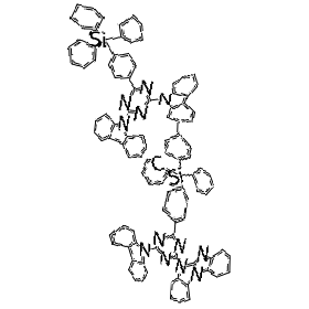 c1ccc([Si](c2ccccc2)(c2ccccc2)c2ccc(-c3nc(-n4c5ccccc5c5ccccc54)nc(-n4c5ccccc5c5ccc(-c6ccc([Si](c7ccccc7)(c7ccccc7)c7ccc(-c8nc(-n9c%10ccccc%10c%10ccccc%109)nc(-n9c%10ccccc%10n%10c%11ccccc%11nc9%10)n8)cc7)cc6)cc54)n3)cc2)cc1